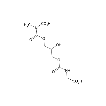 CN(C(=O)O)C(=O)OCC(O)COC(=O)NCC(=O)O